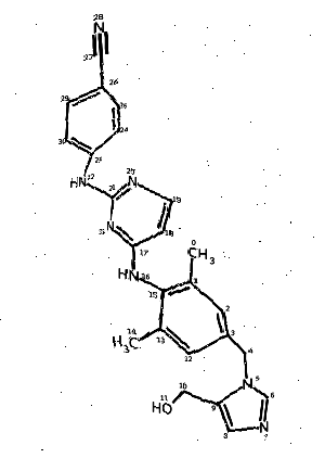 Cc1cc(Cn2cncc2CO)cc(C)c1Nc1ccnc(Nc2ccc(C#N)cc2)n1